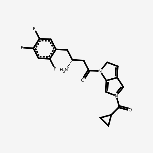 N[C@@H](CC(=O)N1CC=C2C=[N+](C(=O)C3CC3)C=C21)Cc1cc(F)c(F)cc1F